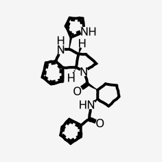 O=C(N[C@@H]1CCCC[C@@H]1C(=O)N1CC[C@H]2[C@H](c3ccc[nH]3)Nc3ccccc3[C@@H]21)c1ccccc1